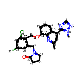 Cc1cc(-c2ncnn2C)c2cccc(OCc3c(Cl)cc(F)cc3CN3CCCC3=O)c2n1